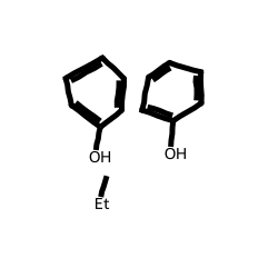 CCC.Oc1ccccc1.Oc1ccccc1